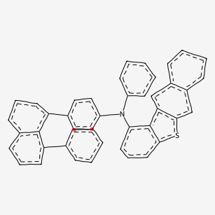 c1ccc(-c2cccc3cccc(-c4ccc(N(c5ccccc5)c5cccc6sc7cc8ccccc8cc7c56)cc4)c23)cc1